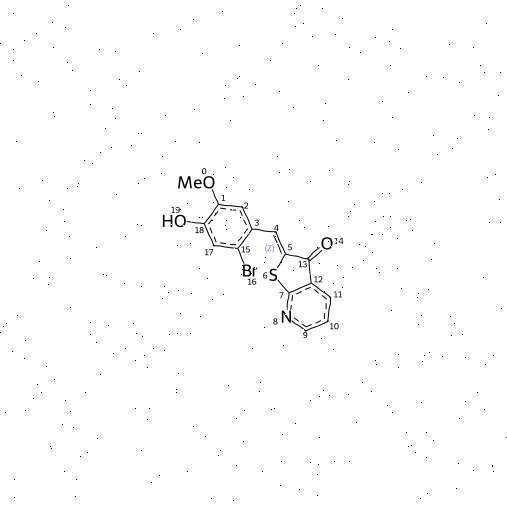 COc1cc(/C=C2\Sc3ncccc3C2=O)c(Br)cc1O